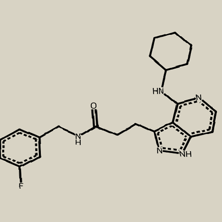 O=C(CCc1n[nH]c2ccnc(NC3CCCCC3)c12)NCc1cccc(F)c1